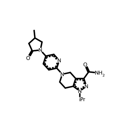 CC1CC(=O)N(c2ccc(N3CCc4c(c(C(N)=O)nn4C(C)C)C3)nc2)C1